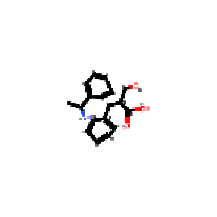 CC(N)c1ccccc1.O=C(O)C(CO)Cc1ccccc1